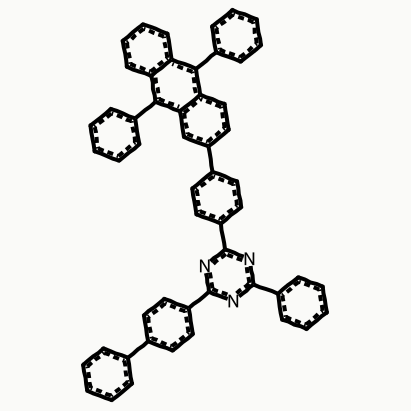 c1ccc(-c2ccc(-c3nc(-c4ccccc4)nc(-c4ccc(-c5ccc6c(-c7ccccc7)c7ccccc7c(-c7ccccc7)c6c5)cc4)n3)cc2)cc1